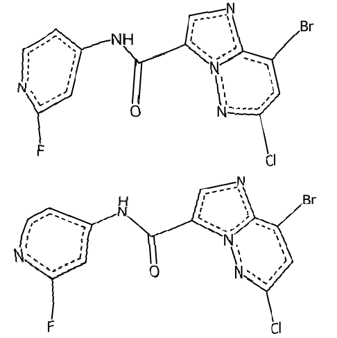 O=C(Nc1ccnc(F)c1)c1cnc2c(Br)cc(Cl)nn12.O=C(Nc1ccnc(F)c1)c1cnc2c(Br)cc(Cl)nn12